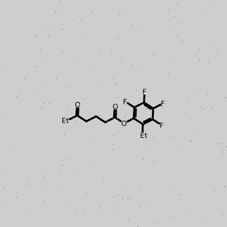 CCC(=O)CCCC(=O)Oc1c(F)c(F)c(F)c(F)c1CC